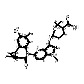 CC#CC(=O)N(c1ccc2c(n1)c(OC1CCC(C(=O)O)C(C)(C)C1)nn2C)c1cc(C)c(Br)cc1C1CC1